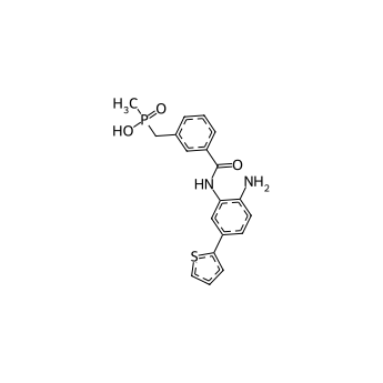 CP(=O)(O)Cc1cccc(C(=O)Nc2cc(-c3cccs3)ccc2N)c1